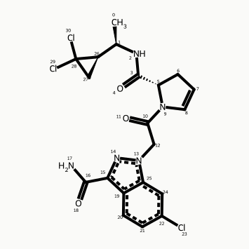 C[C@@H](NC(=O)[C@@H]1CC=CN1C(=O)Cn1nc(C(N)=O)c2ccc(Cl)cc21)[C@H]1CC1(Cl)Cl